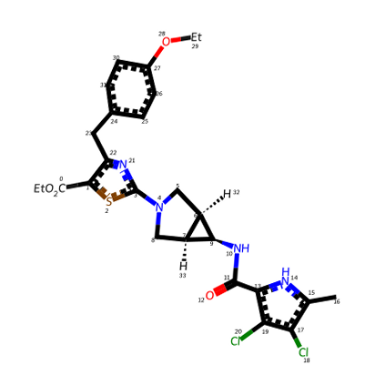 CCOC(=O)c1sc(N2C[C@@H]3[C@H](C2)[C@@H]3NC(=O)c2[nH]c(C)c(Cl)c2Cl)nc1Cc1ccc(OCC)cc1